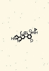 CCn1c(=O)c(-c2cc(OC)cc(C(=O)NC3CC3)c2Cl)cc2cnc3[nH]ccc3c21